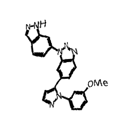 COc1cccc(-n2nccc2-c2ccc3nnn(-c4ccc5cn[nH]c5c4)c3c2)c1